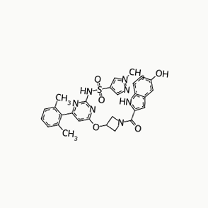 Cc1cccc(C)c1-c1cc(OC2CN(C(=O)c3cc4cc(O)ccc4[nH]3)C2)nc(NS(=O)(=O)c2cnn(C)c2)n1